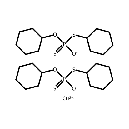 [Cu+2].[O-]P(=S)(OC1CCCCC1)SC1CCCCC1.[O-]P(=S)(OC1CCCCC1)SC1CCCCC1